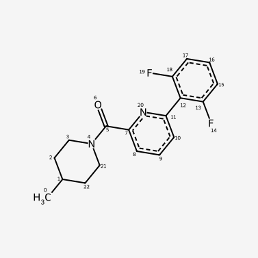 CC1CCN(C(=O)c2cccc(-c3c(F)cccc3F)n2)CC1